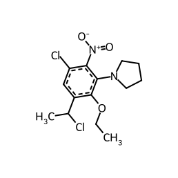 CCOc1c(C(C)Cl)cc(Cl)c([N+](=O)[O-])c1N1CCCC1